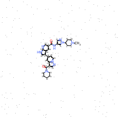 CN1CCC(n2cc(NC(=O)c3cnc4[nH]cc(-c5ccn6ncc(C(=O)N7CCCCC7)c6c5)c4c3)cn2)CC1